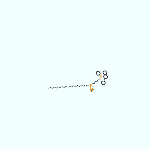 CCCCCCCCCCCCCCCCCCCCCC[PH](C)(CCCCCCP(c1ccccc1-c1ccccc1)c1ccccc1-c1ccccc1)CC(C)C